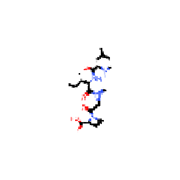 CC[C@H](C)[C@H](NC(=O)[C@H](CC(C)C)NC)C(=O)N(C)CC(=O)N1CC[C@H]1C(=O)O